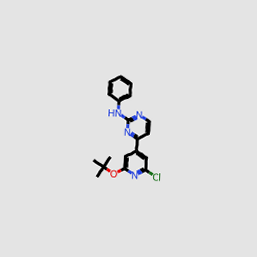 CC(C)(C)Oc1cc(-c2ccnc(Nc3ccccc3)n2)cc(Cl)n1